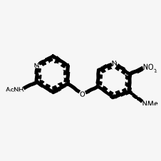 CNc1cc(Oc2ccnc(NC(C)=O)c2)cnc1[N+](=O)[O-]